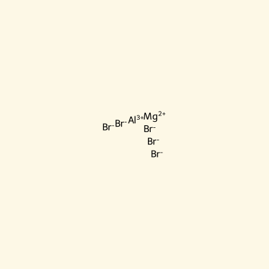 [Al+3].[Br-].[Br-].[Br-].[Br-].[Br-].[Mg+2]